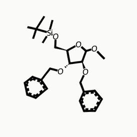 COC1O[C@H](CO[Si](C)(C)C(C)(C)C)[C@@H](OCc2ccccc2)[C@@H]1OCc1ccccc1